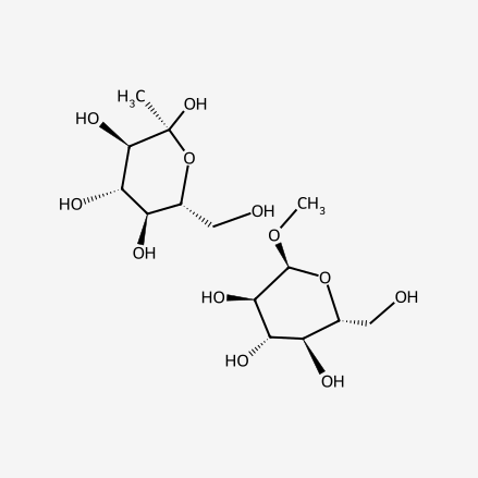 CO[C@H]1O[C@H](CO)[C@@H](O)[C@H](O)[C@H]1O.C[C@]1(O)O[C@H](CO)[C@@H](O)[C@H](O)[C@H]1O